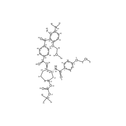 COCOc1ccc(C(=O)N[C@@H]2CN(OC(=O)OC(C)(C)C)CCC[C@H]2OC(=O)c2ccc(C(=O)c3c(OCOC)ccc(N(C)C)c3F)cc2)cc1